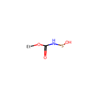 CCOC(=O)NSO